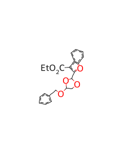 CCOC(=O)c1c(C2OCC(OCc3ccccc3)O2)oc2ccccc12